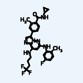 Cc1ccc(F)cc1Nc1cc(NCCCC(F)(F)F)c2ncc(-c3ccc(C(=O)NC4CC4)c(C)c3)n2n1